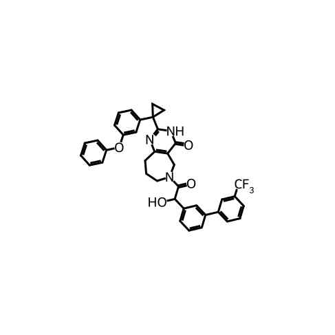 O=C(C(O)c1cccc(-c2cccc(C(F)(F)F)c2)c1)N1CCCc2nc(C3(c4cccc(Oc5ccccc5)c4)CC3)[nH]c(=O)c2C1